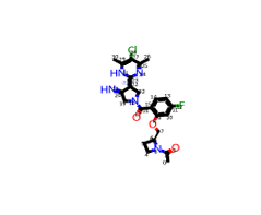 CC(=O)N1CC[C@H]1COc1cc(F)ccc1C(=O)N1CC(=N)/C(=C2/N=C(C)C(Cl)=C(C)N2)C1